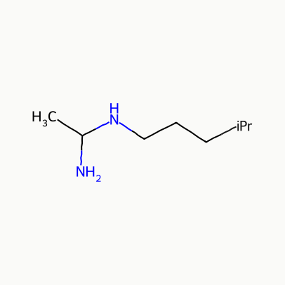 CC(C)CCCNC(C)N